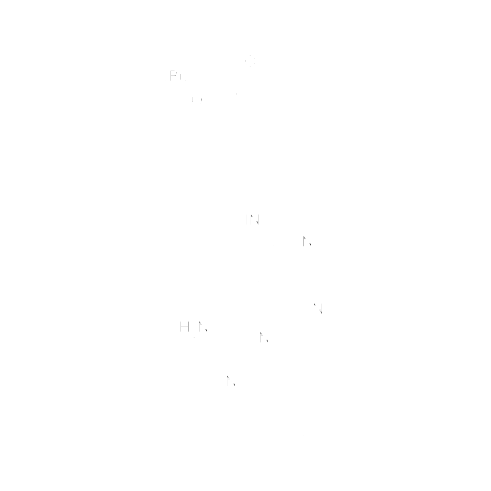 CC(C)(C)OC(=O)C1CCCC(Nc2cc(-n3c(N)nc4ccccc43)ncn2)C1